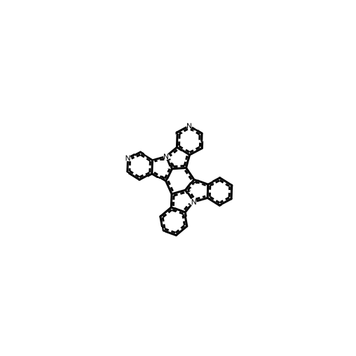 c1ccc2c(c1)c1c3c4ccncc4n4c5cnccc5c(c5c6ccccc6n2c15)c34